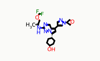 C[C@@H](COC(F)F)Nc1ncc2c(-c3cnn(C4COC4)c3)cc([C@H]3CC[C@H](O)CC3)n2n1